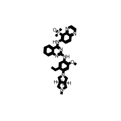 CCc1cc(Nc2nc(Nc3ccc4nccnc4c3P(C)(C)=O)c3ccccc3n2)c(OC)cc1N1C[C@H]2CN(C)C[C@H]2C1